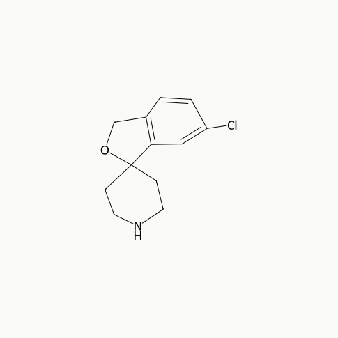 Clc1ccc2c(c1)C1(CCNCC1)OC2